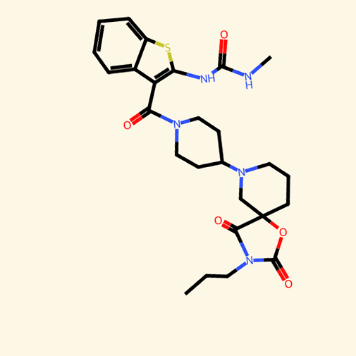 CCCN1C(=O)OC2(CCCN(C3CCN(C(=O)c4c(NC(=O)NC)sc5ccccc45)CC3)C2)C1=O